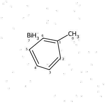 Cc1[c]cccc1.[BiH3]